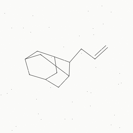 C=CCC1C2CC3CC(C2)CC1C3